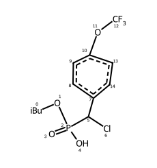 CCC(C)OP(=O)(O)C(Cl)c1ccc(OC(F)(F)F)cc1